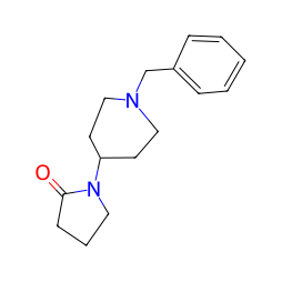 O=C1CCCN1C1CCN(Cc2ccccc2)CC1